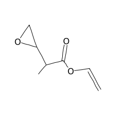 C=COC(=O)C(C)C1CO1